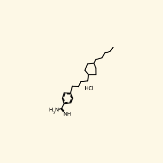 CCCCCC1CCC(CCCCc2ccc(C(=N)N)cc2)CC1.Cl